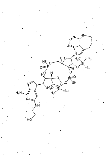 CC(C)(C)[Si](C)(C)CO[C@H]1[C@H]2OP(=O)(S)OC[C@H]3O[C@@H](n4cc5c6c(ncnc64)NCCC5)[C@H](O[Si](C)(C)C(C)(C)C)[C@@H]3OP(=O)(S)OC[C@H]1O[C@H]2n1cnc2c(N)nc(NCCO)nc21